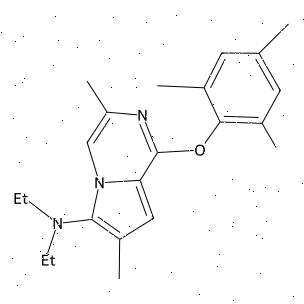 CCN(CC)c1c(C)cc2c(Oc3c(C)cc(C)cc3C)nc(C)cn12